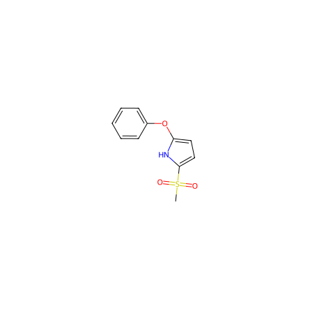 CS(=O)(=O)c1ccc(Oc2ccccc2)[nH]1